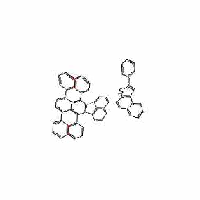 c1ccc(-c2cc3c(s2)c(-c2ccc4c5c(cccc25)-c2c-4c(-c4ccccc4)c4c(-c5ccccc5)ccc(-c5ccccc5)c4c2-c2ccccc2)cc2ccccc23)cc1